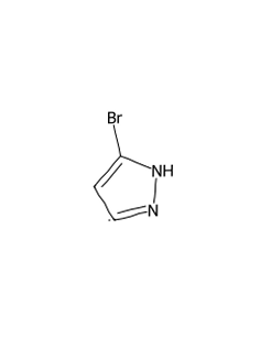 Brc1c[c]n[nH]1